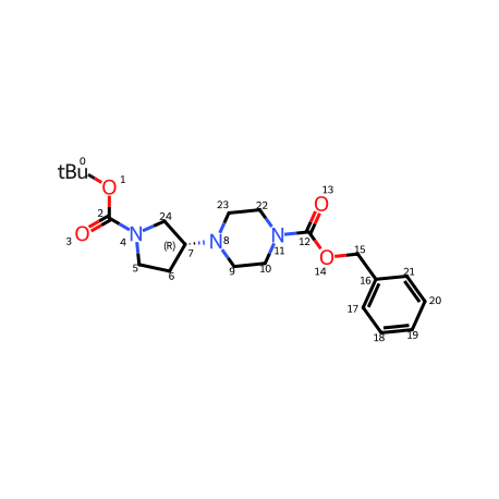 CC(C)(C)OC(=O)N1CC[C@@H](N2CCN(C(=O)OCc3ccccc3)CC2)C1